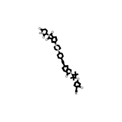 CC1(C)[C@H](Oc2ccc(C#N)c(Cl)c2)C(C)(C)[C@H]1N1Cc2cc(C#CC3CCC(N4CCN(c5ccc6c(c5)C(=O)N(C5CCC(=O)NC5=O)C6=O)CC4)CC3)ccc2C1=O